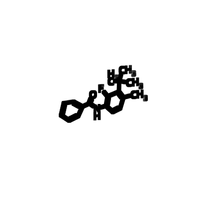 Cc1ccc(NC(=O)c2ccccc2)c(F)c1C(C)(C)C